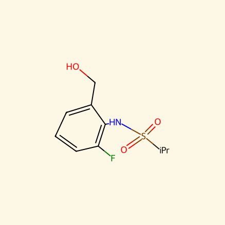 CC(C)S(=O)(=O)Nc1c(F)cccc1CO